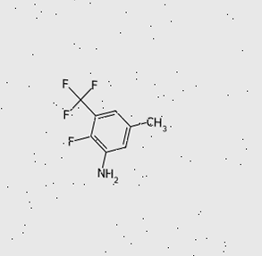 Cc1cc(N)c(F)c(C(F)(F)F)c1